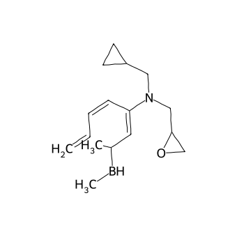 C=C/C=C\C(=C/C(C)BC)N(CC1CC1)CC1CO1